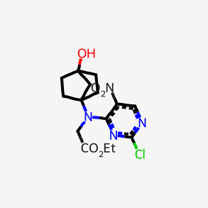 CCOC(=O)CN(c1nc(Cl)ncc1[N+](=O)[O-])C12CCC(O)(CC1)C2